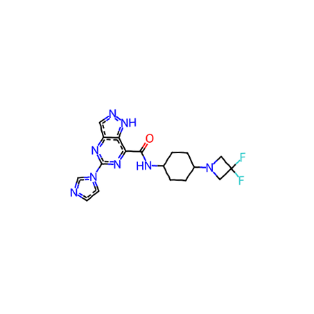 O=C(NC1CCC(N2CC(F)(F)C2)CC1)c1nc(-n2ccnc2)nc2cn[nH]c12